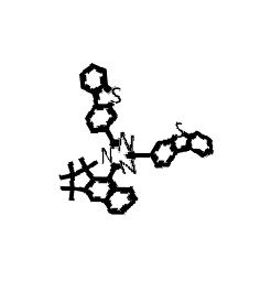 CC1(C)c2cc3ccccc3c(-c3nc(-c4ccc5c(c4)sc4ccccc45)nc(-c4ccc5c(c4)sc4ccccc45)n3)c2C(C)(C)C1(C)C